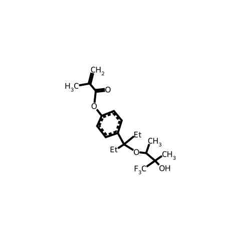 C=C(C)C(=O)Oc1ccc(C(CC)(CC)OC(C)C(C)(O)C(F)(F)F)cc1